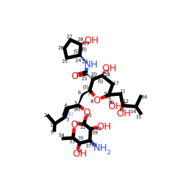 CC(C)/C=C/[C@@H](C[C@@H]1O[C@](O)(C[C@@H](O)C(C)C)C[C@H](O)[C@H]1C(=O)N[C@H]1CCC[C@H]1O)OC1OC(C)C(O)C(N)C1O